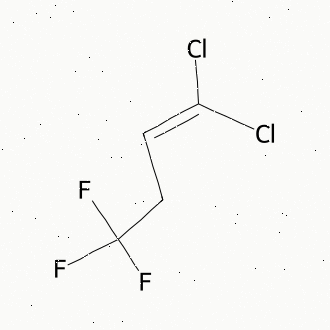 FC(F)(F)CC=C(Cl)Cl